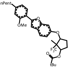 CCCCCc1ccc(-c2cc3ccc(OC4CCC(OC(=O)C(C)(C)C)C4(C)C(F)(F)F)cc3o2)c(OC)c1